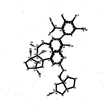 Cc1c(F)c(N)cc(-c2nc3c4c(nc(OC[C@@]56CCCN5C[C@H](F)C6)nc4c2F)N2C[C@H]4CC[C@H](N4)[C@H]2[C@H](C)O3)c1C(F)F